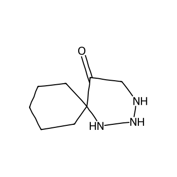 O=C1CNNNC12CCCCC2